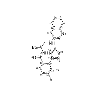 CCC(CNc1cnc2ccccc2n1)NC(=O)c1ncc(C)c(C)c1-n1nccn1